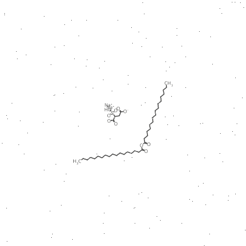 CCCCCCCCCCCCCCCCCC(=O)OC(=O)CCCCCCCCCCCCCCCCC.O=C([O-])CC(C(=O)[O-])S(=O)(=O)O.[Na+].[Na+]